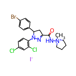 C[N+]1(NC(=O)C2=NN(c3ccc(Cl)cc3Cl)C(c3ccc(Br)cc3)C2)CCCC1.[I-]